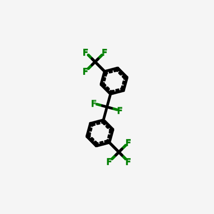 FC(F)(F)c1cccc(C(F)(F)c2cccc(C(F)(F)F)c2)c1